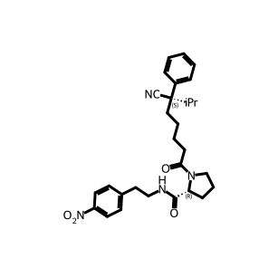 CC(C)[C@@](C#N)(CCCCC(=O)N1CCC[C@@H]1C(=O)NCCc1ccc([N+](=O)[O-])cc1)c1ccccc1